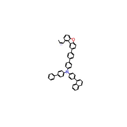 C/C=C\c1cccc2oc3ccc(-c4ccc(-c5ccc(N(c6ccc(-c7ccccc7)cc6)c6ccc(-c7cccc8ccccc78)cc6)cc5)cc4)cc3c12